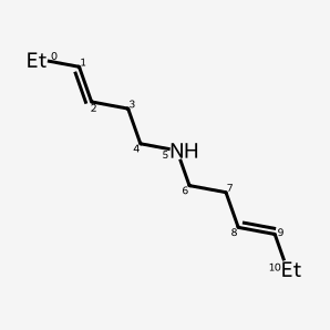 CC/C=C/CCNCC/C=C/CC